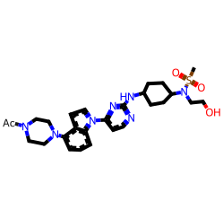 CC(=O)N1CCN(c2cccc3c2ccn3-c2ccnc(NC3CCC(N(CCO)S(C)(=O)=O)CC3)n2)CC1